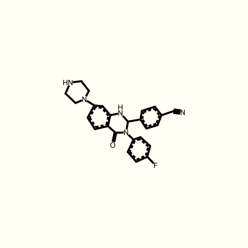 N#Cc1ccc(C2Nc3cc(N4CCNCC4)ccc3C(=O)N2c2ccc(F)cc2)cc1